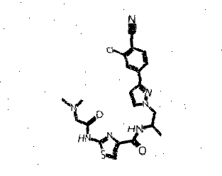 CC(Cn1ccc(-c2ccc(C#N)c(Cl)c2)n1)NC(=O)c1csc(NC(=O)CN(C)C)n1